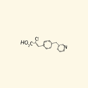 O=C(O)C(Cl)=Cc1ccc(Cc2cccnc2)cc1